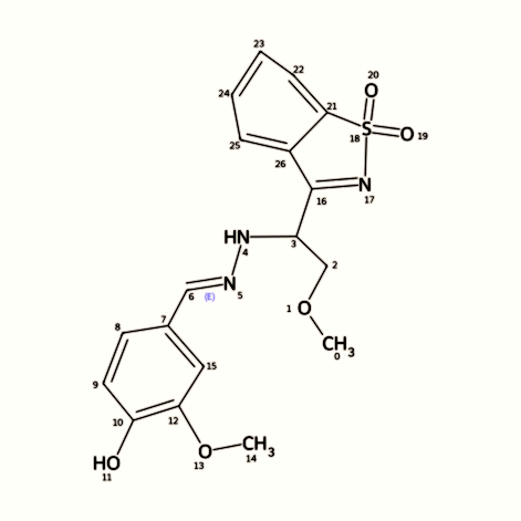 COCC(N/N=C/c1ccc(O)c(OC)c1)C1=NS(=O)(=O)c2ccccc21